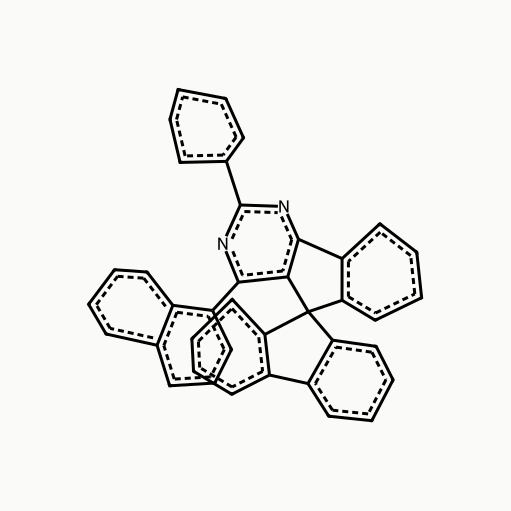 c1ccc(-c2nc3c(c(-c4cccc5ccccc45)n2)C2(c4ccccc4-c4ccccc42)c2ccccc2-3)cc1